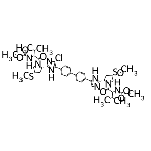 COS[C@H]1C[C@@H](c2ncc(-c3ccc(-c4ccc(-c5[nH]c([C@@H]6C[C@H](SC)CN6C(=O)[C@@H](NC(=O)OC)C(C)C)nc5Cl)cc4)cc3)[nH]2)N(C(=O)[C@@H](NC(=O)OC)C(C)C)C1